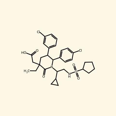 CCC1(CC(=O)O)CC(c2cccc(Cl)c2)C(c2ccc(Cl)cc2)N(C(CNS(=O)(=O)C2CCCC2)C2CC2)C1=O